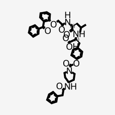 CC(C)C[C@H](NC(=O)COc1ccccc1C(=O)c1ccccc1)C(=O)N[C@@H](Cc1ccc(OC(=O)N2CCC(NC(=O)Cc3ccccc3)CC2)cc1)C(=O)O